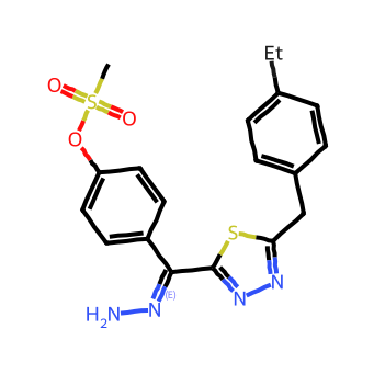 CCc1ccc(Cc2nnc(/C(=N/N)c3ccc(OS(C)(=O)=O)cc3)s2)cc1